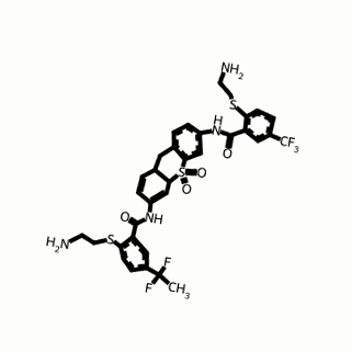 CC(F)(F)c1ccc(SCCN)c(C(=O)NC2=CC3C(C=C2)Cc2ccc(NC(=O)c4cc(C(F)(F)F)ccc4SCCN)cc2S3(=O)=O)c1